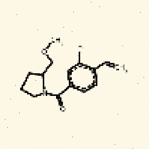 C=Cc1ccc(C(=O)N2CCCC2COC)cc1F